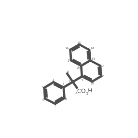 CC(C(=O)O)(c1ccccc1)c1cccc2ccccc12